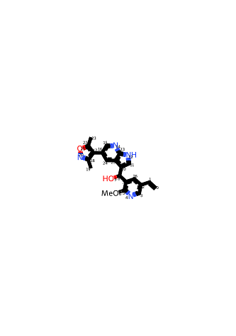 C=Cc1cnc(OC)c(C(O)c2c[nH]c3ncc(-c4c(C)noc4C)cc23)c1